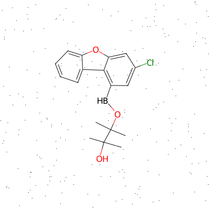 CC(C)(O)C(C)(C)OBc1cc(Cl)cc2oc3ccccc3c12